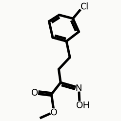 COC(=O)C(CCc1cccc(Cl)c1)=NO